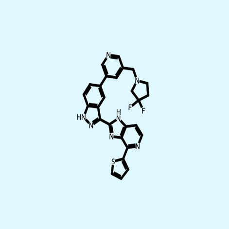 FC1(F)CCN(Cc2cncc(-c3ccc4[nH]nc(-c5nc6c(-c7cccs7)nccc6[nH]5)c4c3)c2)C1